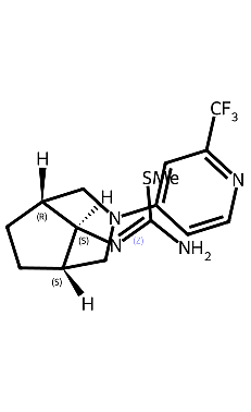 CS/C(N)=N\[C@@H]1[C@@H]2CC[C@H]1CN(c1ccnc(C(F)(F)F)c1)C2